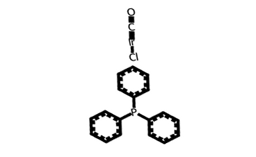 O=[C]=[Ir][Cl].c1ccc(P(c2ccccc2)c2ccccc2)cc1